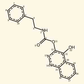 O=C(NCCc1ccccc1)Oc1nnc2ccccc2c1O